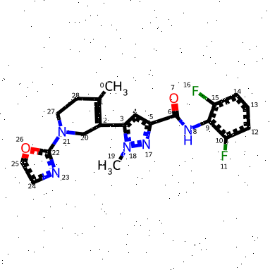 CC1=C(c2cc(C(=O)Nc3c(F)cccc3F)nn2C)CN(c2ncco2)CC1